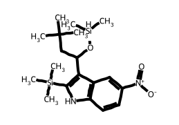 C[SiH](C)OC(CC(C)(C)C)c1c([Si](C)(C)C)[nH]c2ccc([N+](=O)[O-])cc12